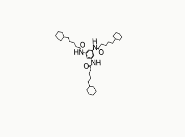 O=C(CCCCC1CCCCC1)Nc1cc(NC(=O)CCCCC2CCCCC2)cc(NC(=O)CCCCC2CCCCC2)c1